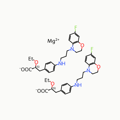 CCO[C@@H](Cc1ccc(NCCCN2CCOc3cc(F)ccc32)cc1)C(=O)[O-].CCO[C@@H](Cc1ccc(NCCCN2CCOc3cc(F)ccc32)cc1)C(=O)[O-].[Mg+2]